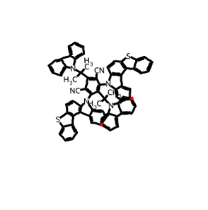 CC(C)(c1c(C#N)c(-n2c3ccccc3c3c4c(ccc32)sc2ccccc24)c(C(C)(C)n2c3ccccc3c3ccccc32)c(-n2c3ccccc3c3c4c(ccc32)sc2ccccc24)c1C#N)n1c2ccccc2c2ccccc21